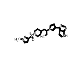 Cn1ccc(S(=O)(=O)N2CCC(CC(CC#N)n3ccc(-c4ncnc5[nH]ccc45)c3)CC2)n1